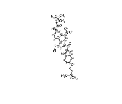 CN(C)CCOc1ccc2[nH]c(C(=O)N3CC(CCl)c4c3cc([N+](=O)[O-])c3cc(NC(=O)OC(C)(C)C)ccc43)cc2c1